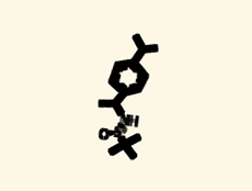 CC(C)c1ccc(C(C)N[S@+]([O-])C(C)(C)C)cc1